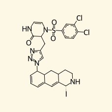 O=C1NC=CN(S(=O)(=O)c2ccc(Cl)c(Cl)c2)C1Cc1cn(C2C=CC=C3C=C4C(CCN[C@@H]4I)CC32)nn1